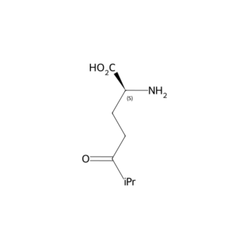 CC(C)C(=O)CC[C@H](N)C(=O)O